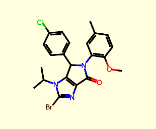 COc1ccc(C)cc1N1C(=O)c2nc(Br)n(C(C)C)c2C1c1ccc(Cl)cc1